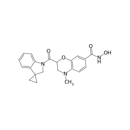 CN1CC(C(=O)N2CC3(CC3)c3ccccc32)Oc2cc(C(=O)NO)ccc21